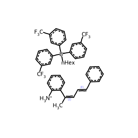 C/C(=C/C=C/c1ccccc1)c1ccccc1[NH3+].CCCCCC[B-](c1cccc(C(F)(F)F)c1)(c1cccc(C(F)(F)F)c1)c1cccc(C(F)(F)F)c1